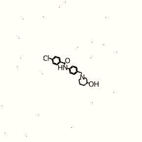 O=C(Nc1ccc(CN2CCCC(O)C2)cc1)c1ccc(Cl)cc1